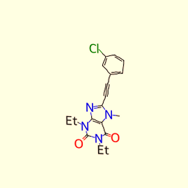 CCn1c(=O)c2c(nc(C#Cc3cccc(Cl)c3)n2C)n(CC)c1=O